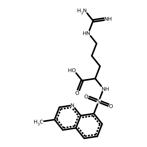 Cc1cnc2c(S(=O)(=O)NC(CCCNC(=N)N)C(=O)O)cccc2c1